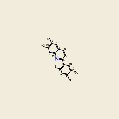 Cc1cc(C)c(-c2ccc3cc(C)c(C)cc3n2)cc1C